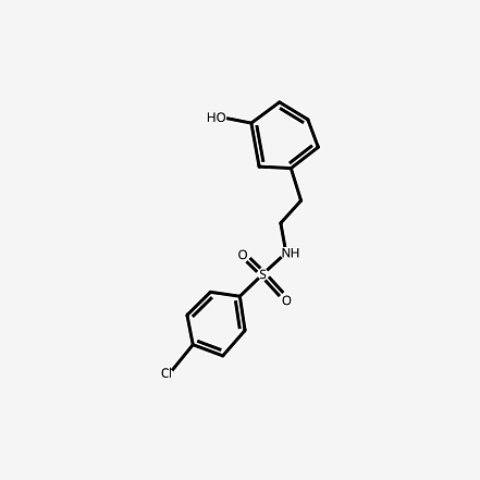 O=S(=O)(NCCc1cccc(O)c1)c1ccc(Cl)cc1